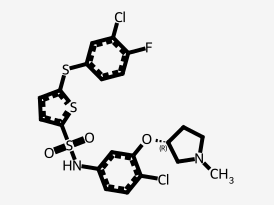 CN1CC[C@@H](Oc2cc(NS(=O)(=O)c3ccc(Sc4ccc(F)c(Cl)c4)s3)ccc2Cl)C1